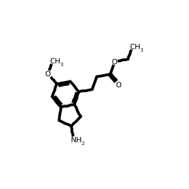 CCOC(=O)CCc1cc(OC)cc2c1CC(N)C2